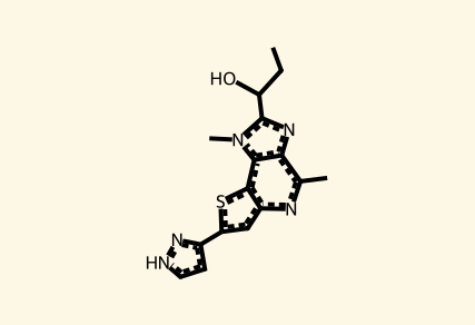 CCC(O)c1nc2c(C)nc3cc(-c4cc[nH]n4)sc3c2n1C